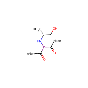 CCCCCCCCCC(=O)P(N[C@@H](CO)C(=O)O)C(=O)CCCCCCCCC